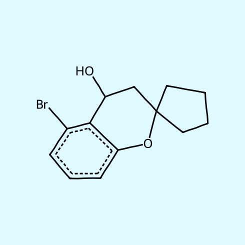 OC1CC2(CCCC2)Oc2cccc(Br)c21